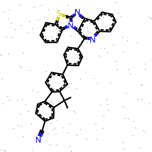 CC1(C)c2cc(C#N)ccc2-c2ccc(-c3ccc(-c4nc5ccccc5c5nc6sc7ccccc7n6c45)cc3)cc21